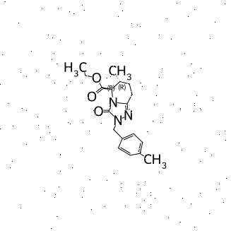 CCOC(=O)[C@H]1[C@H](C)CCc2nn(Cc3ccc(C)cc3)c(=O)n21